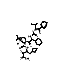 CC(C)[C@H](NC(=O)N[C@H](C(=O)N1CC2[C@@H]([C@H]1C(=O)NC(CC1CCC1)C(=O)C(N)=O)C2(C)C)C1CCCCC1)C(=O)c1ccccc1